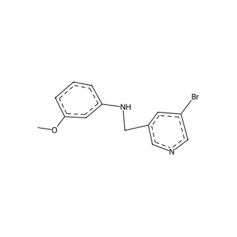 COc1cccc(NCc2cncc(Br)c2)c1